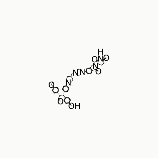 COc1ccc([C@H]2COc3cc(O)ccc3[C@H]2c2ccc(N3CCC(CN4CCN(c5ccc6c(c5)CN([C@H]5CCC(=O)NC5=O)C6=O)CC4)CC3)cc2)cc1